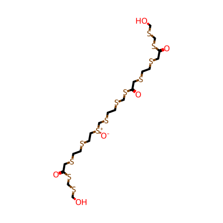 O=C(CSCCSCC[S+]([O-])CSCCSCSC(=O)CSCCSCC(=O)SCSCO)SCSCO